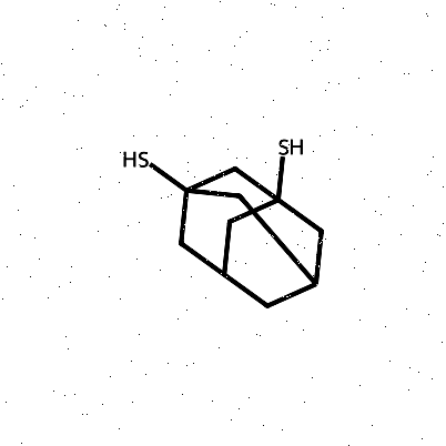 SC12CC3CC(C1)CC(S)(C3)C2